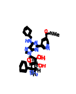 [2H]C([2H])([2H])C(N)(c1ccccc1)[C@H]1O[C@H](n2cnc3c(NCc4ccccc4)nc(-c4cncc(C(=O)NC)c4)nc32)[C@@H](O)[C@H]1O